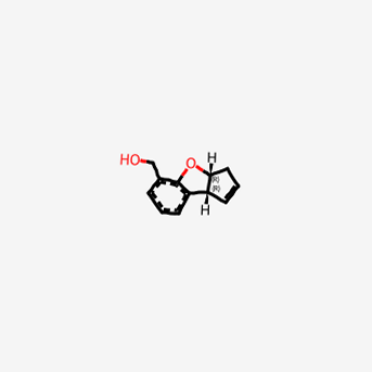 OCc1cccc2c1O[C@@H]1CC=C[C@H]21